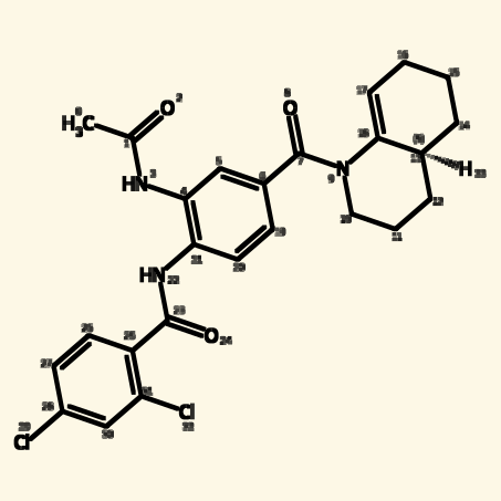 CC(=O)Nc1cc(C(=O)N2CCC[C@@H]3CCCC=C32)ccc1NC(=O)c1ccc(Cl)cc1Cl